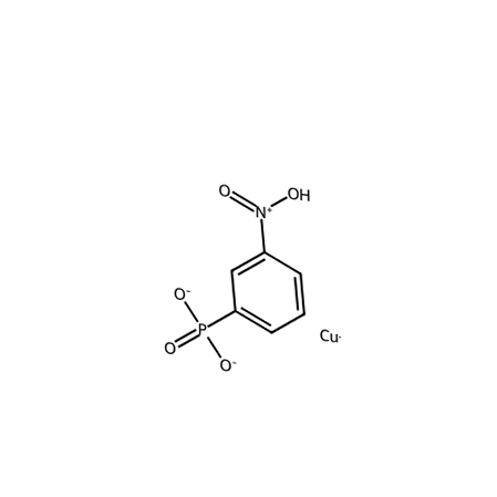 O=[N+](O)c1cccc(P(=O)([O-])[O-])c1.[Cu]